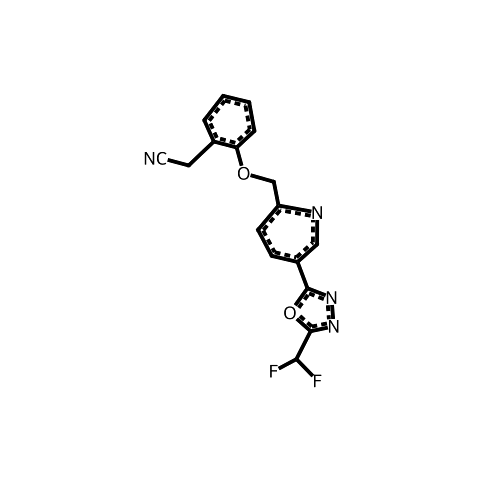 N#CCc1ccccc1OCc1ccc(-c2nnc(C(F)F)o2)cn1